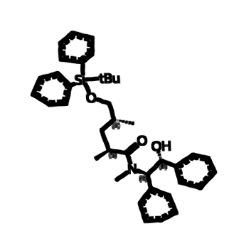 C[C@@H](CO[Si](c1ccccc1)(c1ccccc1)C(C)(C)C)C[C@H](C)C(=O)N(C)[C@H](c1ccccc1)[C@H](O)c1ccccc1